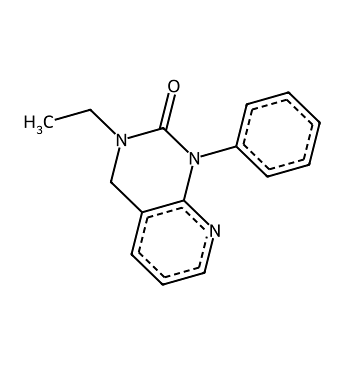 CCN1Cc2cccnc2N(c2ccccc2)C1=O